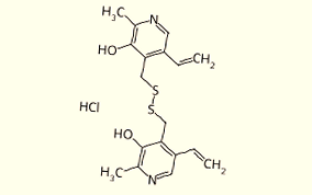 C=Cc1cnc(C)c(O)c1CSSCc1c(C=C)cnc(C)c1O.Cl